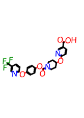 O=C(O)c1ccc(OC2CCN(C(=O)Oc3ccc(Oc4ccc(C(F)(F)F)cn4)cc3)CC2)nc1